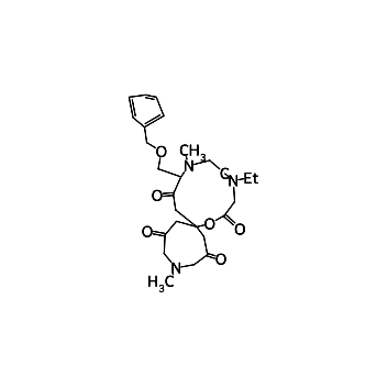 CCN1CCN(C)C(COCc2ccccc2)C(=O)CC2(CC(=O)CN(C)CC(=O)C2)OC(=O)C1